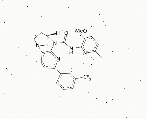 COc1ccc(C)nc1NC(=O)N1c2nc(-c3cccc(C(F)(F)F)c3)ccc2N2CC[C@H]1C2